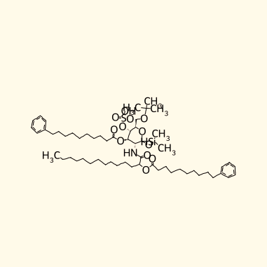 CCCCCCCCCCCCC(OC(=O)CCCCCCCCCc1ccccc1)C(=O)N[C@H]1C(O[SiH](C)C)O[C@H](COC(C)(C)C)[C@@H](OS(=O)(=O)O)[C@@H]1OC(=O)CCCCCCCCCc1ccccc1